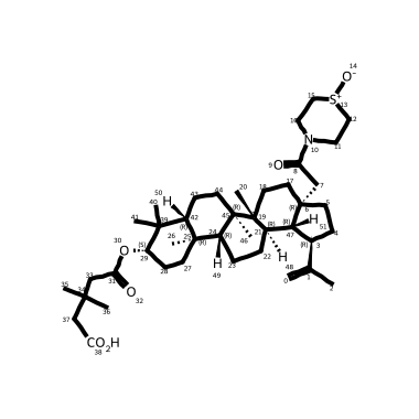 C=C(C)[C@@H]1CC[C@]2(CC(=O)N3CC[S+]([O-])CC3)CC[C@]3(C)[C@H](CC[C@@H]4[C@@]5(C)CC[C@H](OC(=O)CC(C)(C)CC(=O)O)C(C)(C)[C@@H]5CC[C@]43C)[C@@H]12